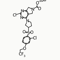 CC(C)(C)OC(=O)N1Cc2nc(Cl)nc(N3CCC(S(=O)(=O)c4ccc(OCC(F)(F)F)cc4Cl)C3)c2C1